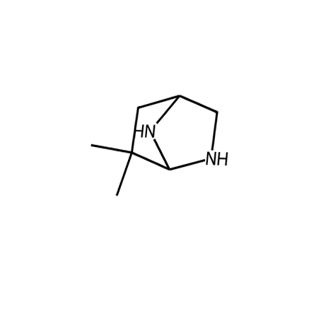 CC1(C)CC2CNC1N2